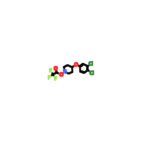 O=C(ON1CCC(Oc2ccc(Cl)c(Cl)c2)CC1)C(F)(F)F